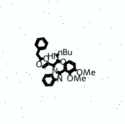 CCCCNC(=O)C(C1=COC(Cc2ccccc2)O1)n1c(-c2cccc(OC)c2OC)nc2ccccc21